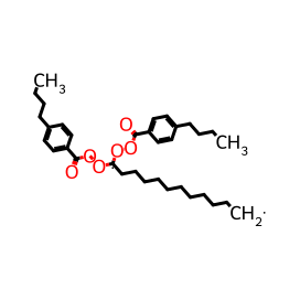 [CH2]CCCCCCCCCC[C](OOC(=O)c1ccc(CCCC)cc1)OOC(=O)c1ccc(CCCC)cc1